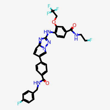 O=C(NCCF)c1ccc(Nc2nc3ccc(-c4ccc(C(=O)NCc5ccc(F)cc5)cc4)cn3n2)c(OCC(F)(F)F)c1